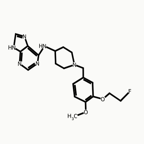 COc1ccc(CN2CCC(Nc3ncnc4[nH]cnc34)CC2)cc1OCCF